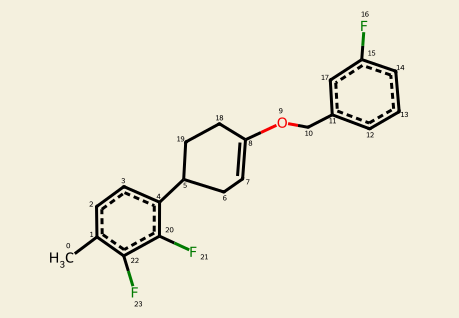 Cc1ccc(C2CC=C(OCc3cccc(F)c3)CC2)c(F)c1F